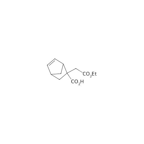 CCOC(=O)CC1(C(=O)O)CC2C=CC1C2